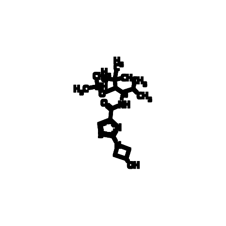 CC(C)[C@H](NC(=O)c1csc(N2CC(O)C2)n1)C(O[SiH](C)C)C(C)(C)C